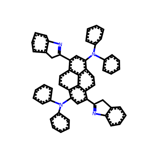 c1ccc(N(c2ccccc2)c2cc(C3=Nc4ccccc4C3)c3ccc4c(N(c5ccccc5)c5ccccc5)cc(C5=Nc6ccccc6C5)c5ccc2c3c54)cc1